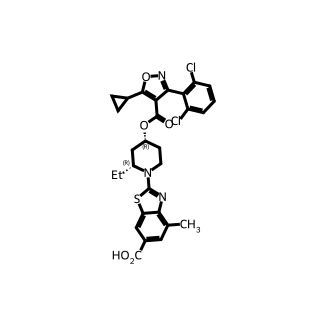 CC[C@@H]1C[C@H](OC(=O)c2c(-c3c(Cl)cccc3Cl)noc2C2CC2)CCN1c1nc2c(C)cc(C(=O)O)cc2s1